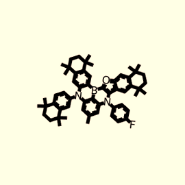 Cc1cc2c3c(c1)N(c1ccc(F)cc1)c1c(oc4cc5c(cc14)C(C)(C)CCC5(C)C)B3c1cc3c(cc1N2c1ccc2c(c1)C(C)(C)CCC2(C)C)C(C)(C)CCC3(C)C